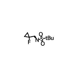 CC(C)(C)S(=O)(=O)N=CC1(F)CC1